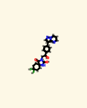 O=C(CN1C(=O)NC2(CCC(F)(F)CC2)C1=O)c1ccc(-c2cnn3cccnc23)cc1